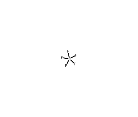 F[S](F)(F)(F)F